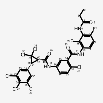 CCC(=O)Nc1c(F)ccc(NC(=O)c2cc(NC(=O)[C@H]3[C@H](c4cc(Cl)c(Cl)c(Cl)c4)C3(Cl)Cl)ccc2Cl)c1F